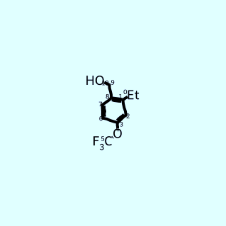 CCc1cc(OC(F)(F)F)ccc1CO